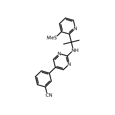 CSc1cccnc1C(C)(C)Nc1ncc(-c2cccc(C#N)c2)cn1